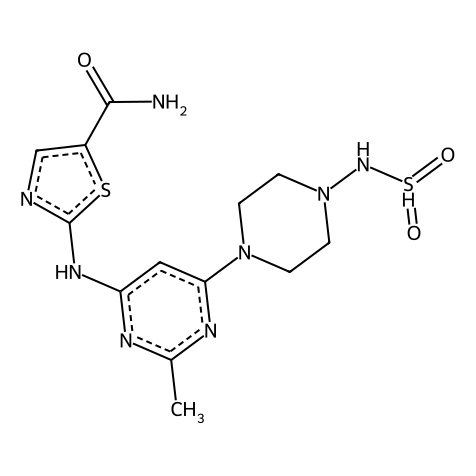 Cc1nc(Nc2ncc(C(N)=O)s2)cc(N2CCN(N[SH](=O)=O)CC2)n1